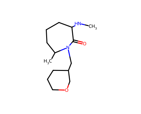 CNC1CCCC(C)N(CC2CCCOC2)C1=O